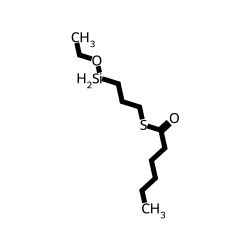 CCCCCC(=O)SCCC[SiH2]OCC